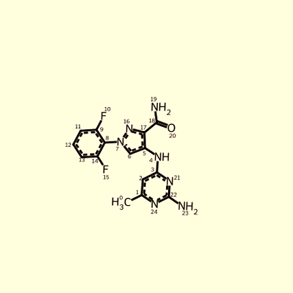 Cc1cc(Nc2cn(-c3c(F)cccc3F)nc2C(N)=O)nc(N)n1